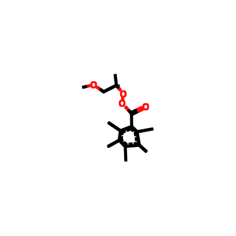 COC[C](C)OOC(=O)c1c(C)c(C)c(C)c(C)c1C